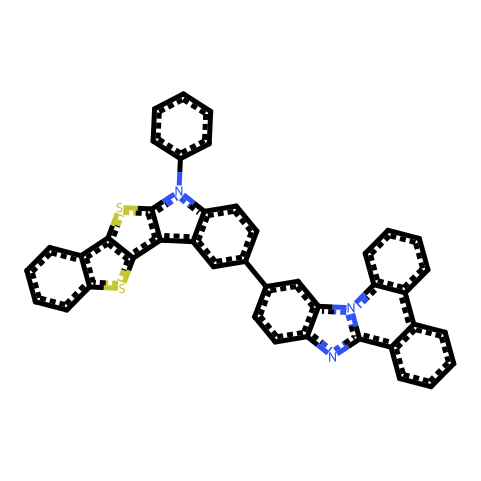 c1ccc(-n2c3ccc(-c4ccc5nc6c7ccccc7c7ccccc7n6c5c4)cc3c3c4sc5ccccc5c4sc32)cc1